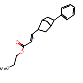 COCCOC(=O)/C=C/C1CC2CC1CC2c1ccccc1